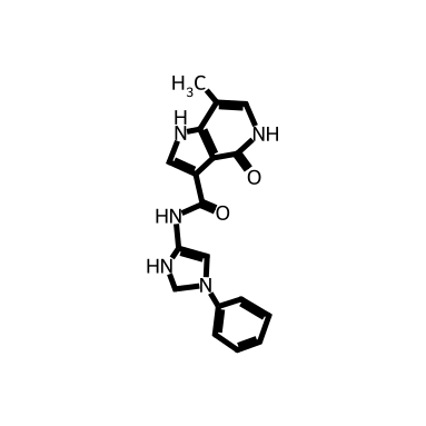 Cc1c[nH]c(=O)c2c(C(=O)NC3=CN(c4ccccc4)CN3)c[nH]c12